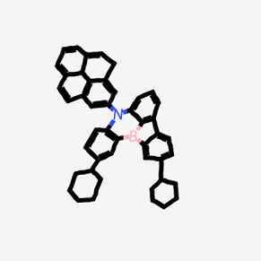 C1=CC2=CCc3cc(N4c5ccc(C6CCCCC6)cc5B5c6cc(C7CCCCC7)ccc6-c6cccc4c65)cc4c3C2C(=C1)C=C4